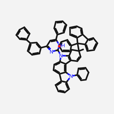 CC1(C2(c3ccccc3)c3ccccc3-c3ccccc32)C=Cc2c(n(C3N=C(c4cccc(-c5ccccc5)c4)C=C(c4ccccc4)N3)c3ccc4c5ccccc5n(C5=CCCC=C5)c4c23)C1